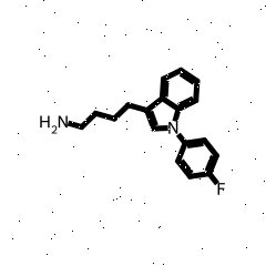 NCCCCc1cn(-c2ccc(F)cc2)c2ccccc12